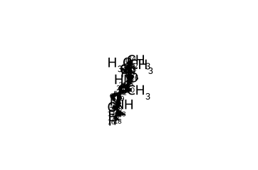 Cc1cc(-c2ccnc(NC(=O)[C@H]3C[C@@H]3C(F)(F)F)c2)ccc1CNC(=O)c1noc(C(C)(C)C)n1